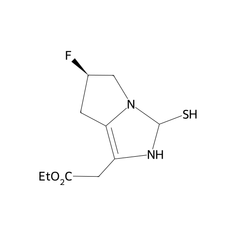 CCOC(=O)CC1=C2C[C@@H](F)CN2C(S)N1